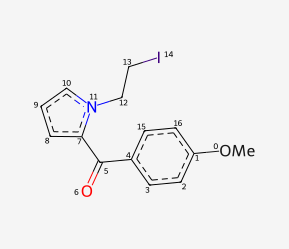 COc1ccc(C(=O)c2cccn2CCI)cc1